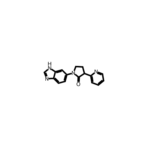 O=C1C(c2ccccn2)CCN1c1ccc2nc[nH]c2c1